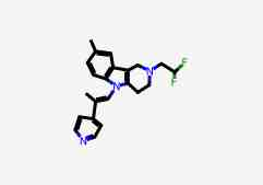 C/C(=C\n1c2c(c3cc(C)ccc31)CN(CC(F)F)CC2)c1ccncc1